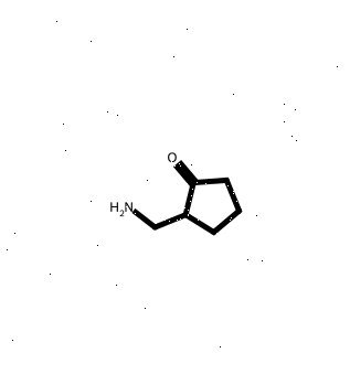 NCC1CCCC1=O